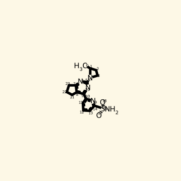 CC1CCN1c1nc2c(c(-c3cccc(S(N)(=O)=O)n3)n1)CCC2